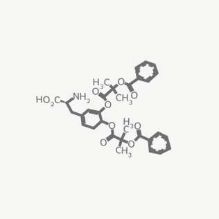 CC(C)(OC(=O)c1ccccc1)C(=O)OC1=CC(C[C@H](N)C(=O)O)=CCC1OC(=O)C(C)(C)OC(=O)c1ccccc1